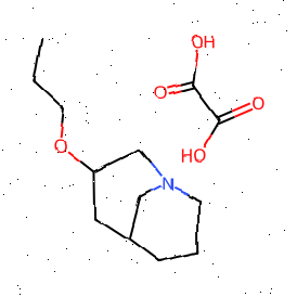 CCCOC1CC2CCCN(C2)C1.O=C(O)C(=O)O